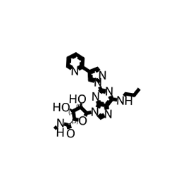 CCCNc1nc(-n2cc(-c3ccccn3)cn2)nc2c1ncn2C1O[C@H](C(=O)NC)[C@@H](O)[C@H]1O